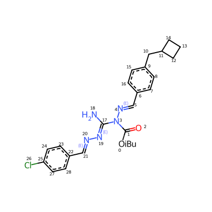 CC(C)COC(=O)N(/N=C/c1ccc(CC2CCC2)cc1)/C(N)=N/N=C/c1ccc(Cl)cc1